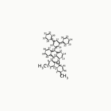 CC1=CC2c3cc(C)cc(-c4c5ccccc5c(-c5cc(-c6ccccc6)cc(-c6ccccc6)c5)c5ccccc45)c3OC2C=C1